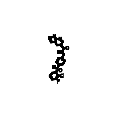 O=C(NCc1ccc(S(=O)(=O)c2cccc(F)c2Cl)cc1)C1=CC2C=NN=C2N=C1